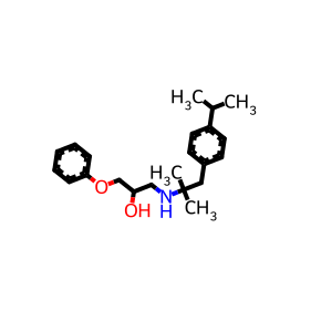 CC(C)c1ccc(CC(C)(C)NCC(O)COc2ccccc2)cc1